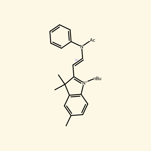 CCCC[N+]1=C(/C=C/N(C(C)=O)c2ccccc2)C(C)(C)c2cc(C)ccc21